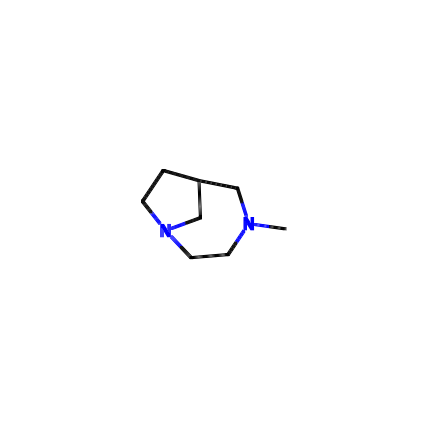 CN1CCN2CCC(C1)C2